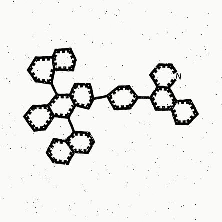 c1ccc2c(-c3c4ccccc4c(-c4cccc5ccccc45)c4cc(-c5ccc(-c6cc7ccccc7c7ncccc67)cc5)ccc34)cccc2c1